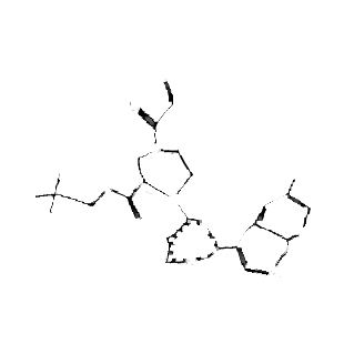 C=CC(=O)N1CCN(c2ccnc(C3=CNC4NC=C(Cl)C=C34)n2)[C@@H](C(=O)NCC(F)(F)F)C1